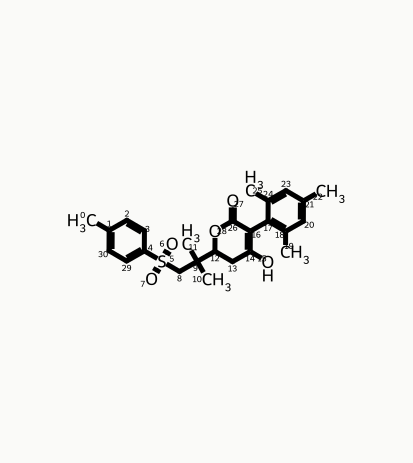 Cc1ccc(S(=O)(=O)CC(C)(C)C2CC(O)=C(c3c(C)cc(C)cc3C)C(=O)O2)cc1